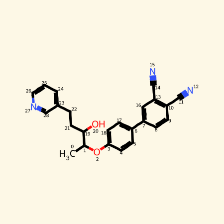 CC(Oc1ccc(-c2ccc(C#N)c(C#N)c2)cc1)C(O)CCc1cccnc1